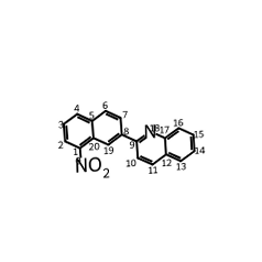 O=[N+]([O-])c1cccc2ccc(-c3ccc4ccccc4n3)cc12